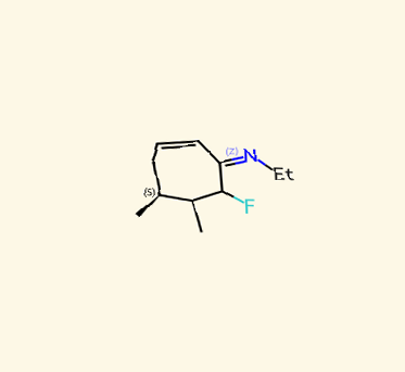 CC/N=C1/C=CC[C@H](C)C(C)C1F